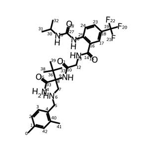 Cc1ccc(CNCC(NC(=O)CNC(=O)c2cc(C(F)(F)F)ccc2NC(=O)NC(C)C)(C(N)=O)C(C)(C)C)c(C)c1